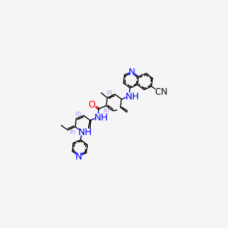 C=CC(/C=C(C)\C(=C/C)C(=O)NC(=C)/C=C\C(=C/C)Nc1ccncc1)Nc1ccnc2ccc(C#N)cc12